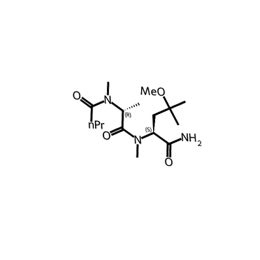 CCCC(=O)N(C)[C@H](C)C(=O)N(C)[C@@H](CC(C)(C)OC)C(N)=O